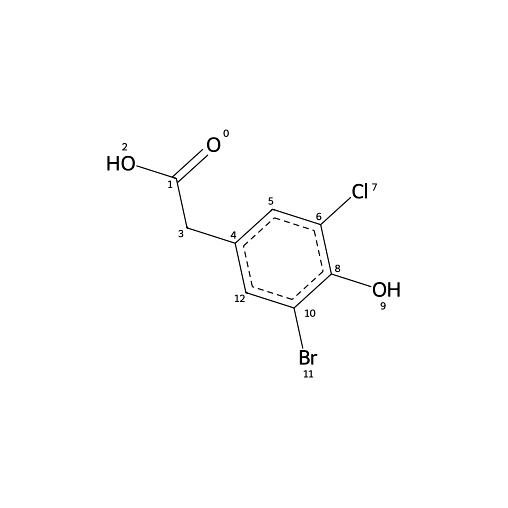 O=C(O)Cc1cc(Cl)c(O)c(Br)c1